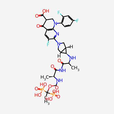 CC(N[C@H]1[C@@H]2CN(c3nc4c(cc3F)C(=O)C(C(=O)O)CN4c3ccc(F)cc3F)C[C@@H]21)C(=O)NC(=O)[C@H](C)NC(=O)OC(C)(P(=O)(O)O)P(=O)(O)O